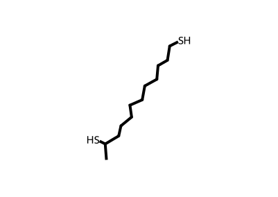 CC(S)CCCCCCCCCCS